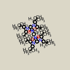 CC(C)(C)c1ccc2c(c1)c1cc(C(C)(C)C)ccc1n2-c1ccc(-n2c3ccc(C(C)(C)C)cc3c3cc(C(C)(C)C)ccc32)c2c1C(=O)N(C1CCC(N3C(=O)c4c(-n5c6ccc(C(C)(C)C)cc6c6cc(C(C)(C)C)ccc65)ccc(-n5c6ccc(C(C)(C)C)cc6c6cc(C(C)(C)C)ccc65)c4C3=O)CC1)C2=O